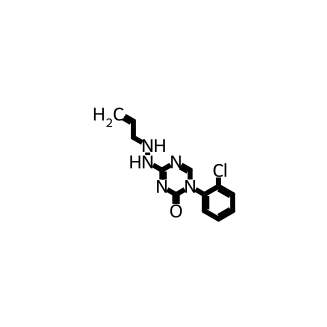 C=CCNNc1ncn(-c2ccccc2Cl)c(=O)n1